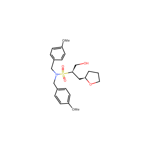 COc1ccc(CN(Cc2ccc(OC)cc2)S(=O)(=O)[C@@H](CO)C[C@H]2CCCO2)cc1